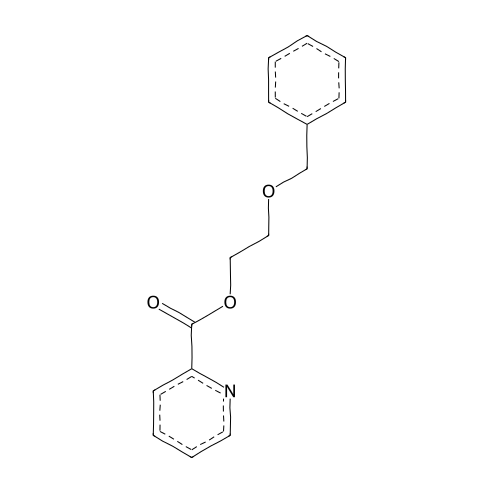 O=C(OCCOCc1ccccc1)c1ccccn1